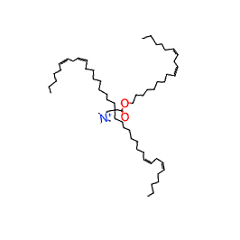 CCCCC/C=C\C/C=C\CCCCCCCCOC(=O)C(CCCCCCCC/C=C\C/C=C\CCCCC)(CCCCCCCC/C=C\C/C=C\CCCCC)C[N+](C)(C)C